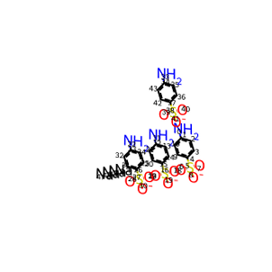 Nc1ccc(S(=O)(=O)[O-])cc1.Nc1ccc(S(=O)(=O)[O-])cc1.Nc1ccc(S(=O)(=O)[O-])cc1.Nc1ccc(S(=O)(=O)[O-])cc1.[Na+].[Na+].[Na+].[Na+]